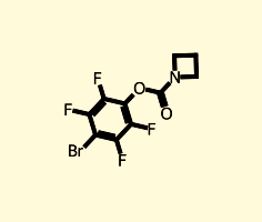 O=C(Oc1c(F)c(F)c(Br)c(F)c1F)N1CCC1